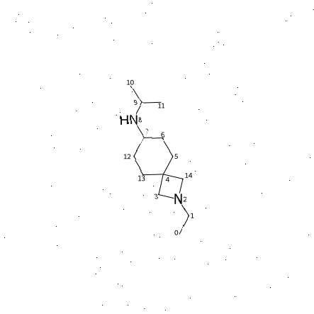 CCN1CC2(CCC(NC(C)C)CC2)C1